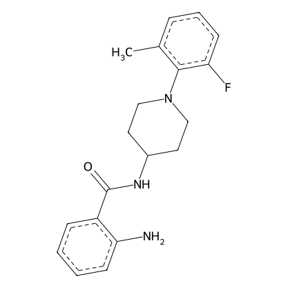 Cc1cccc(F)c1N1CCC(NC(=O)c2ccccc2N)CC1